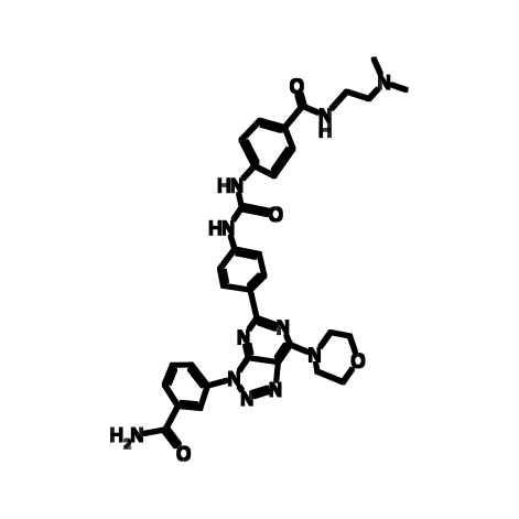 CN(C)CCNC(=O)c1ccc(NC(=O)Nc2ccc(-c3nc(N4CCOCC4)c4nnn(-c5cccc(C(N)=O)c5)c4n3)cc2)cc1